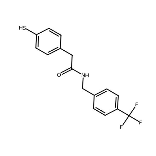 O=C(Cc1ccc(S)cc1)NCc1ccc(C(F)(F)F)cc1